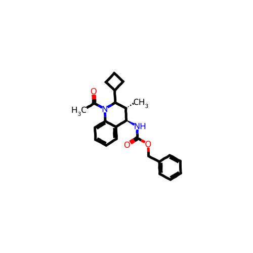 CC(=O)N1c2ccccc2[C@H](NC(=O)OCc2ccccc2)[C@@H](C)C1C1CCC1